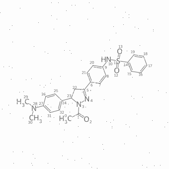 CC(=O)N1N=C(c2ccc(NS(=O)(=O)c3ccccc3)cc2)CC1c1ccc(N(C)C)cc1